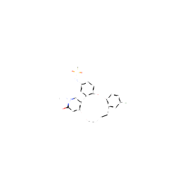 CCS(=O)(=O)Nc1ccc2c(c1)-c1cn(C)c(=O)cc1OCC/C=C/c1cc(Cl)ccc1O2